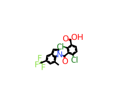 Cc1cc(C(F)(F)F)cc2ccn(C(=O)c3c(Cl)ccc(C(=O)O)c3Cl)c12